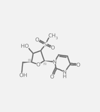 CS(=O)(=O)C1C(O)[C@H](CO)O[C@@H]1n1ccc(=O)[nH]c1=O